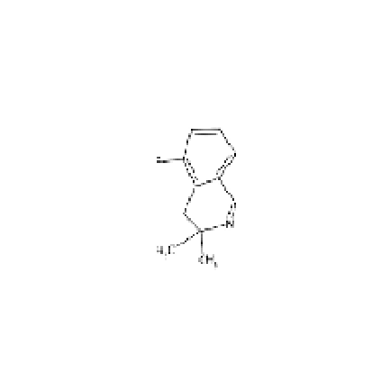 CC1(C)Cc2c(F)cccc2C=N1